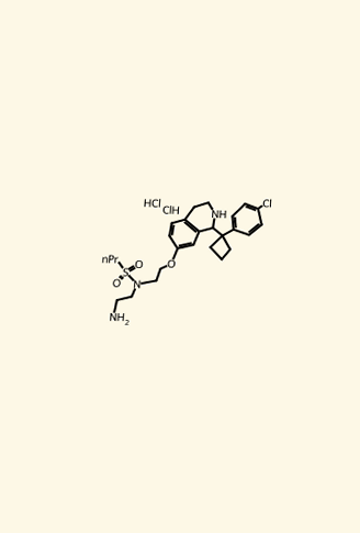 CCCS(=O)(=O)N(CCN)CCOc1ccc2c(c1)C(C1(c3ccc(Cl)cc3)CCC1)NCC2.Cl.Cl